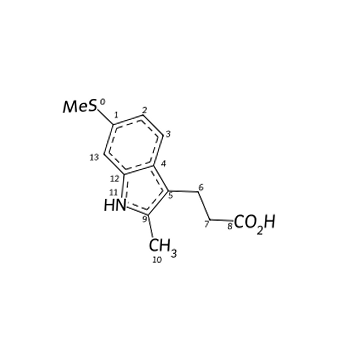 CSc1ccc2c(CCC(=O)O)c(C)[nH]c2c1